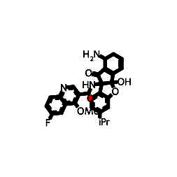 COc1c(C(=O)NC23C(=O)C4=C(C=CCC4N)C2(O)Oc2cc(C(C)C)ccc23)cnc2ccc(F)cc12